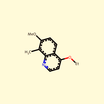 CCOc1ccnc2c(C)c(OC)ccc12